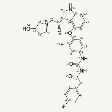 O=C(Cc1ccc(F)cc1)NC(=O)Nc1ccc(Oc2ccnc3[nH]cc(C(=O)CN4CCC(O)C4)c23)c(F)c1